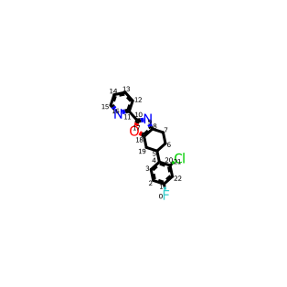 Fc1ccc(C2CCc3nc(-c4ccccn4)oc3C2)c(Cl)c1